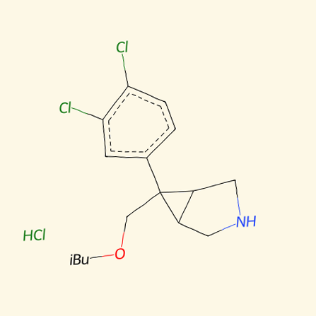 CCC(C)OCC1(c2ccc(Cl)c(Cl)c2)C2CNCC21.Cl